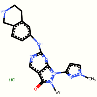 CC(C)n1c(=O)c2cnc(Nc3ccc4c(c3)CCNC4)nc2n1-c1ccn(C)n1.Cl